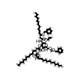 C=CCO[C@@H]1O[C@H](COCOCc2ccccc2)[C@@H](O)[C@H](OC(=O)C[C@@H](CCCCCCCCCCC)OC(=O)C(F)(F)CCCCCCCCCCCC)[C@H]1NC(=O)C[C@@H](CCCCCCCCCCC)OCc1ccccc1